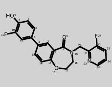 O=C1c2cc(-c3ccc(O)c(F)c3)ccc2OCCN1Cc1ncccc1F